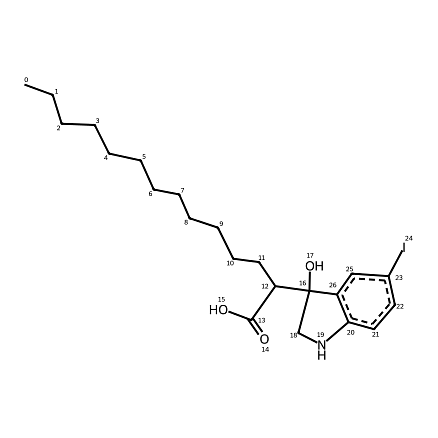 CCCCCCCCCCCCC(C(=O)O)C1(O)CNc2ccc(I)cc21